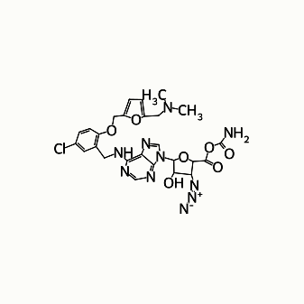 CN(C)Cc1ccc(COc2ccc(Cl)cc2CNc2ncnc3c2ncn3C2OC(C(=O)OC(N)=O)C(N=[N+]=[N-])C2O)o1